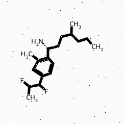 CCCC(C)CC[C@@H](N)c1ccc(C(F)C(C)F)cc1C